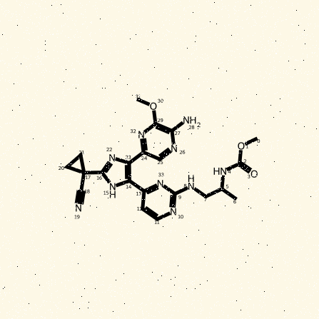 COC(=O)NC(C)CNc1nccc(-c2[nH]c(C3(C#N)CC3)nc2-c2cnc(N)c(OC)n2)n1